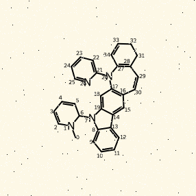 CN1C=CC=CC1n1c2ccccc2c2cc3c(cc21)N(c1ccccn1)C1=C(C=C3)CCC=C1